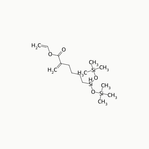 C=COC(=O)C(=C)CCCC[SiH](O[Si](C)(C)C)O[Si](C)(C)C